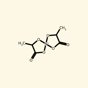 CC1O[N+]2(OC1=O)OC(=O)C(C)O2